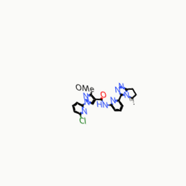 COc1nn(-c2cccc(Cl)n2)cc1C(=O)Nc1cccc(-c2nnc3n2[C@@H](C)CC3)n1